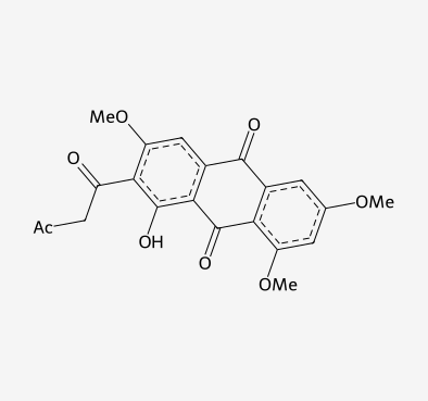 COc1cc(OC)c2c(c1)C(=O)c1cc(OC)c(C(=O)CC(C)=O)c(O)c1C2=O